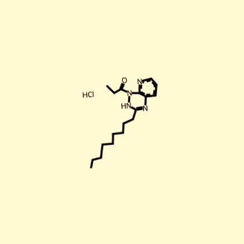 CCCCCCCCCC1=Nc2cccnc2N(C(=O)CC)N1.Cl